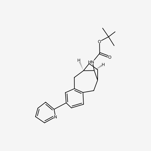 CC(C)(C)OC(=O)N[C@H]1C2CC[C@@H]1Cc1cc(-c3ccccn3)ccc1C2